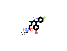 CC(CCC(=O)NCC#N)C(N)C(c1ccc(F)cc1)c1ccc(Br)cc1